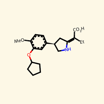 CC/C(C(=O)O)=C1/C[C@H](c2ccc(OC)c(OC3CCCC3)c2)CN1